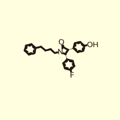 O=C1[C@H](c2ccc(O)cc2)[C@H](c2ccc(F)cc2)N1CCCCc1ccccc1